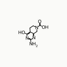 Nc1nc(O)c2c(n1)CN(C(=O)O)CC2